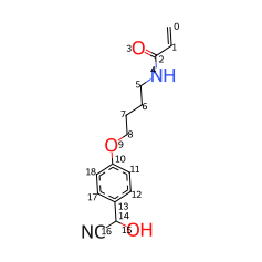 C=CC(=O)NCCCCOc1ccc(C(O)C#N)cc1